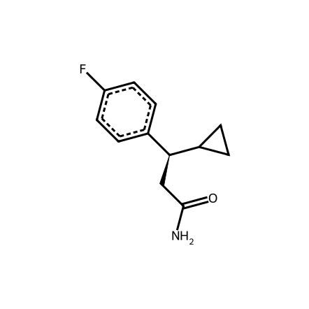 NC(=O)C[C@@H](c1ccc(F)cc1)C1CC1